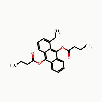 CCCC(=O)Oc1c2ccccc2c(OC(=O)CCC)c2c(CC)cccc12